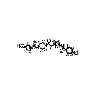 O=C(Nc1nc(CC(=O)N2CCN(CC(=O)N3CCC(O)C3)CC2)cs1)c1ccc(Cl)cc1